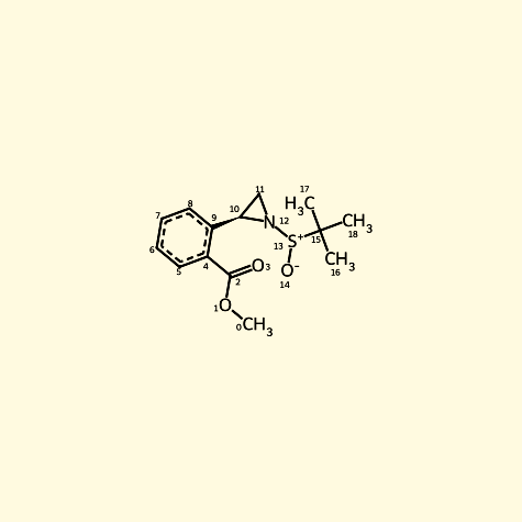 COC(=O)c1ccccc1[C@H]1CN1[S+]([O-])C(C)(C)C